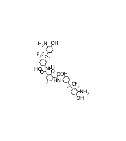 Cc1cc(C(=O)Nc2cc(C(C)(c3ccc(O)c(N)c3)C(F)(F)F)ccc2O)c(O)c(C(=O)Nc2cc(C(C)(c3ccc(O)c(N)c3)C(F)(F)F)ccc2O)c1